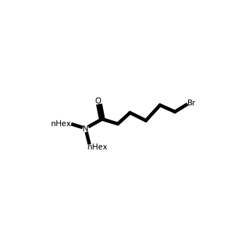 CCCCCCN(CCCCCC)C(=O)CCCCCBr